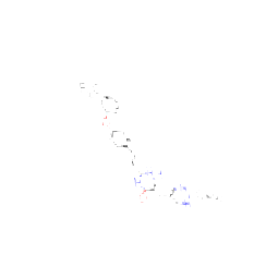 COc1ncc(Cc2c[nH]c(CCc3ccc(Oc4cccc(C(F)(F)F)c4)cc3)nc2=O)cn1